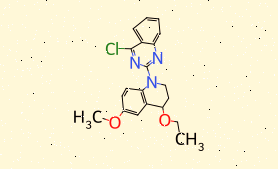 CCOC1CCN(c2nc(Cl)c3ccccc3n2)c2ccc(OC)cc21